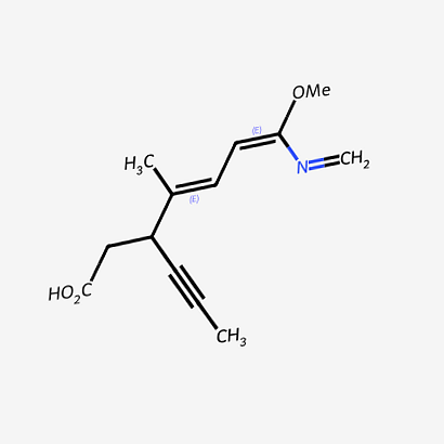 C=N/C(=C\C=C(/C)C(C#CC)CC(=O)O)OC